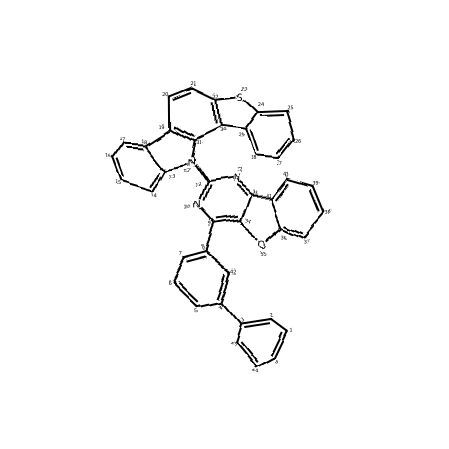 c1ccc(-c2cccc(-c3nc(-n4c5ccccc5c5ccc6sc7ccccc7c6c54)nc4c3oc3ccccc34)c2)cc1